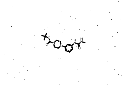 CNC(=O)Nc1cccc(N2CCN(C(=O)OC(C)(C)C)CC2)c1